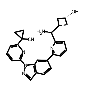 N#CC1(c2cccc(-n3ncc4ccc(-c5cccc([C@@H](N)[C@H]6C[C@@H](O)C6)n5)cc43)n2)CC1